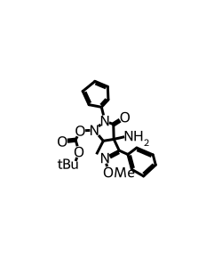 CON=C(c1ccccc1)C1(N)C(=O)N(c2ccccc2)N(OC(=O)OC(C)(C)C)C1C